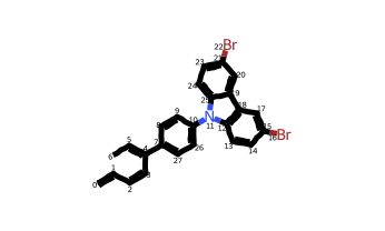 C=C/C=C\C(=C/C)c1ccc(-n2c3ccc(Br)cc3c3cc(Br)ccc32)cc1